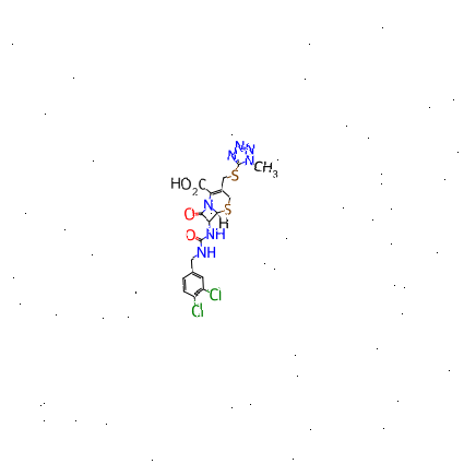 Cn1nnnc1SCC1=C(C(=O)O)N2C(=O)C(NC(=O)NCc3ccc(Cl)c(Cl)c3)[C@@H]2SC1